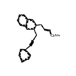 COC=CCc1cc2ccccc2cc1CC#Cc1ccccc1